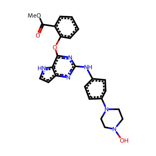 COC(=O)c1ccccc1Oc1nc(Nc2ccc(N3CCN(O)CC3)cc2)nc2cc[nH]c12